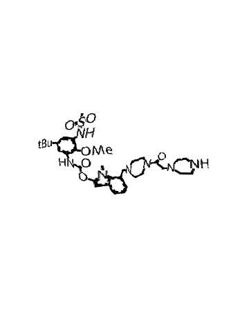 COc1c(NC(=O)Oc2cc3cccc(CN4CCN(C(=O)CN5CCNCC5)CC4)c3n2C)cc(C(C)(C)C)cc1NS(C)(=O)=O